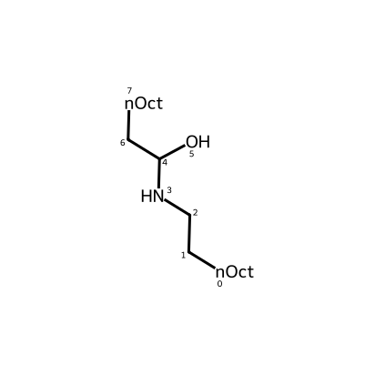 CCCCCCCCCCNC(O)CCCCCCCCC